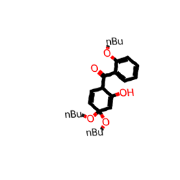 CCCCOc1ccccc1C(=O)C1C=CC(OCCCC)(OCCCC)C=C1O